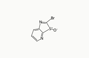 [O-][s+]1c(Br)nc2cccnc21